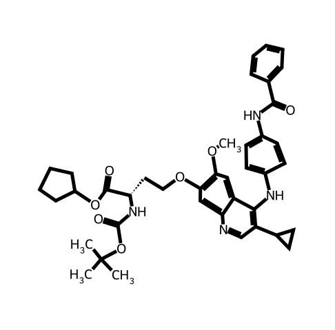 COc1cc2c(Nc3ccc(NC(=O)c4ccccc4)cc3)c(C3CC3)cnc2cc1OCC[C@H](NC(=O)OC(C)(C)C)C(=O)OC1CCCC1